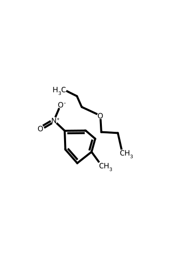 CCCOCCC.Cc1ccc([N+](=O)[O-])cc1